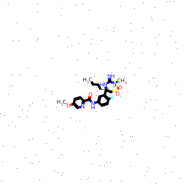 CCCC[C@@]1(c2cc(NC(=O)c3ccc(OC)cn3)ccc2F)CS(=O)(=O)N(C)C(=N)N1